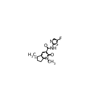 C[C@H]1CCc2c1cc(C(=O)Nc1ncc(F)s1)c(=O)n2C